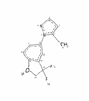 Cc1ccnn1-c1ccc2c(c1)C(F)(F)CO2